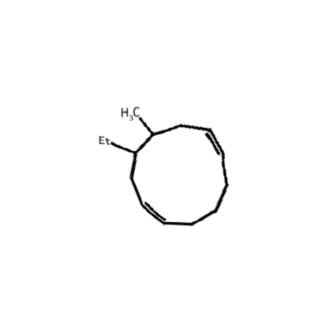 CCC1CC=[C]CCCC=CCC1C